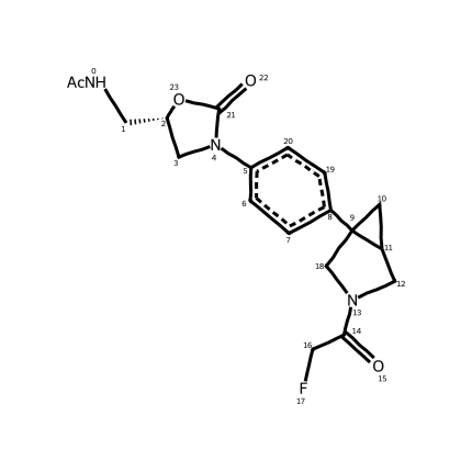 CC(=O)NC[C@H]1CN(c2ccc(C34CC3CN(C(=O)CF)C4)cc2)C(=O)O1